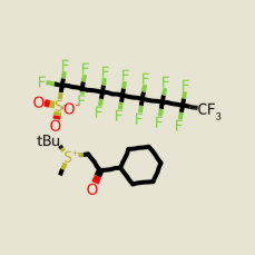 C[S+](CC(=O)C1CCCCC1)C(C)(C)C.O=S(=O)([O-])C(F)(F)C(F)(F)C(F)(F)C(F)(F)C(F)(F)C(F)(F)C(F)(F)C(F)(F)F